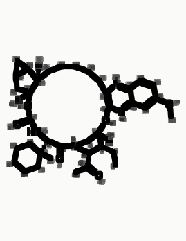 CC[C@@H]1[C@@H]2CN(C(=O)[C@H](C3(C)CCCCC3)NC(=O)O[C@@H]3CC4CC4[C@H]3CCCCCc3nc4ccc(OC)cc4nc3O2)[C@@H]1C(C)=O